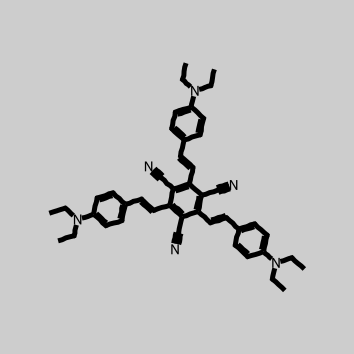 CCN(CC)c1ccc(C=Cc2c(C#N)c(C=Cc3ccc(N(CC)CC)cc3)c(C#N)c(C=Cc3ccc(N(CC)CC)cc3)c2C#N)cc1